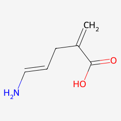 C=C(CC=CN)C(=O)O